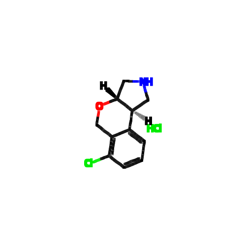 Cl.Clc1cccc2c1CO[C@@H]1CNC[C@@H]21